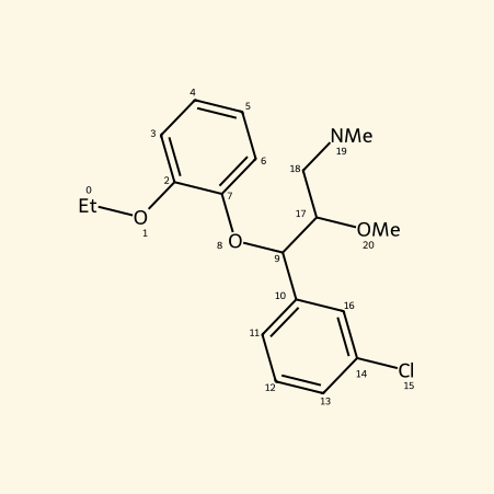 CCOc1ccccc1OC(c1cccc(Cl)c1)C(CNC)OC